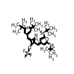 CC(C)(C)[Se]C1=CC(=CC2=C(N)C(=Cc3cc(C(C)(C)C)[se+]c(C(C)(C)C)c3)C2=O)C=C([Se]C(C)(C)C)O1.F[B-](F)(F)F